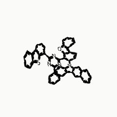 c1ccc(-c2nc(-c3c(-n4c5ccccc5c5cc6ccccc6cc54)ccc4c3oc3ccccc34)nc(-c3cccc4c3sc3ccccc34)n2)cc1